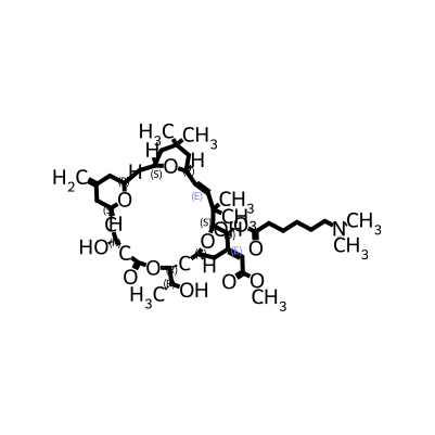 C=C1C[C@@H]2C[C@@H]3CC(C)(C)C[C@H](/C=C/C(C)(C)[C@]4(O)O[C@@H](C/C(=C\C(=O)OC)[C@@H]4OC(=O)CCCCCN(C)C)C[C@H]([C@@H](C)O)OC(=O)C[C@H](O)C[C@H](C1)O2)O3